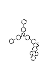 c1ccc(-c2ccc(N(c3ccc(-c4ccccc4)cc3)c3ccc(-c4ccc5sc6cc7c(cc6c5c4)Oc4ccccc4O7)cc3)cc2)cc1